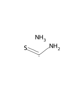 N.N[C]=S